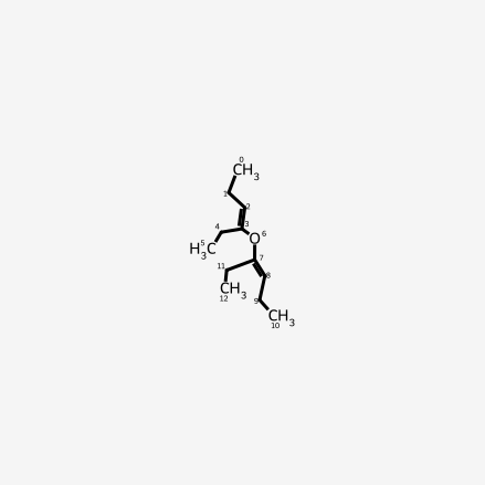 CC/C=C(\CC)O/C(=C/CC)CC